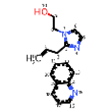 C=CCc1nccn1CCO.c1ccc2ncccc2c1